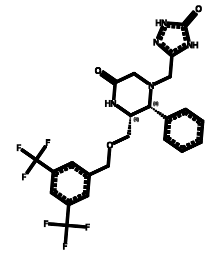 O=C1CN(Cc2n[nH]c(=O)[nH]2)[C@H](c2ccccc2)[C@H](COCc2cc(C(F)(F)F)cc(C(F)(F)F)c2)N1